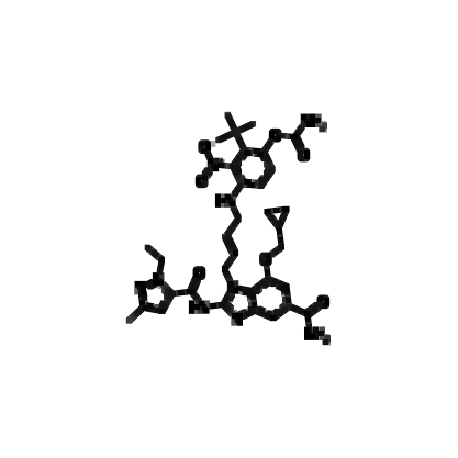 CCn1nc(C)cc1C(=O)Nc1nc2cc(C(N)=O)cc(OCC3CC3)c2n1CC=CCNc1ccc(OC(N)=O)c(C(C)(C)C)c1[N+](=O)[O-]